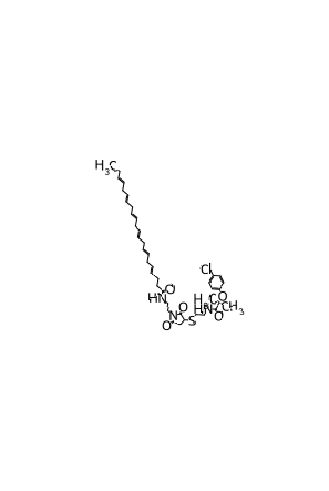 CCC=CCC=CCC=CCC=CCC=CCC=CCCC(=O)NCCN1C(=O)CC(SCCNC(=O)C(C)(C)Oc2ccc(Cl)cc2)C1=O